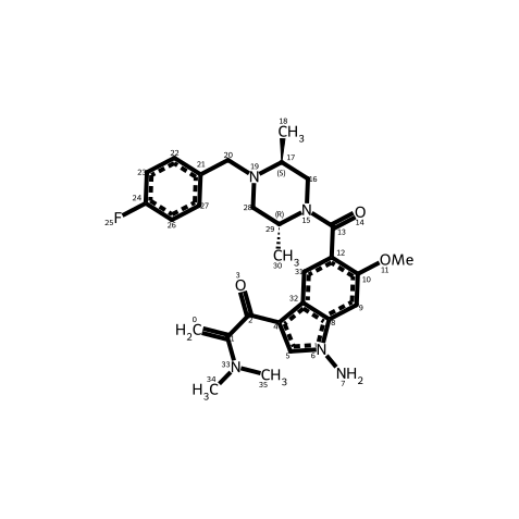 C=C(C(=O)c1cn(N)c2cc(OC)c(C(=O)N3C[C@H](C)N(Cc4ccc(F)cc4)C[C@H]3C)cc12)N(C)C